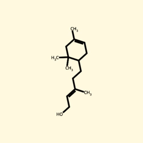 CC1=CCC(CC/C(C)=C/CO)C(C)(C)C1